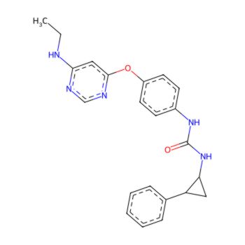 CCNc1cc(Oc2ccc(NC(=O)NC3CC3c3ccccc3)cc2)ncn1